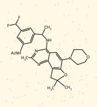 CC(=O)Nc1cc(C(F)F)cc(C(C)Nc2nc(C)nc3c4c(c(N5CCOCC5)cc23)OC(C)(C)C4)c1